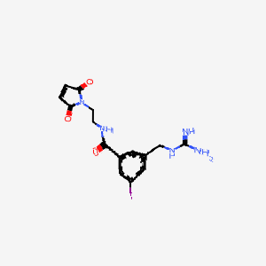 N=C(N)NCc1cc(I)cc(C(=O)NCCN2C(=O)C=CC2=O)c1